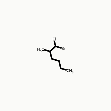 CCCCC(C)C(Cl)Br